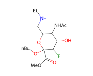 CCCCOC1(C(=O)OC)OC(CNCC)C(NC(C)=O)C(O)C1F